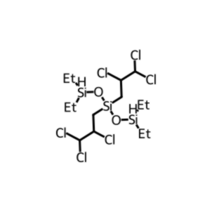 CC[SiH](CC)O[Si](CC(Cl)C(Cl)Cl)(CC(Cl)C(Cl)Cl)O[SiH](CC)CC